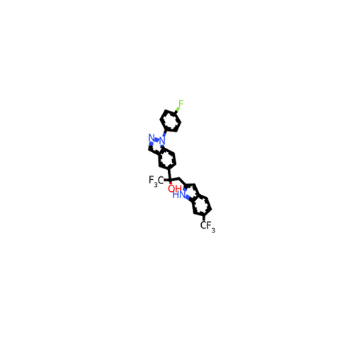 OC(Cc1cc2ccc(C(F)(F)F)cc2[nH]1)(c1ccc2c(cnn2-c2ccc(F)cc2)c1)C(F)(F)F